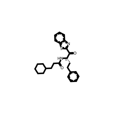 O=C(CCC1CCCCC1)N[C@@H](CCc1ccccc1)C(=O)c1nc2ccccc2s1